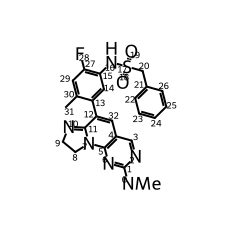 CNc1ncc2c(n1)N1CCN=C1C(c1cc(NS(=O)(=O)Cc3ccccc3)c(F)cc1C)=C2